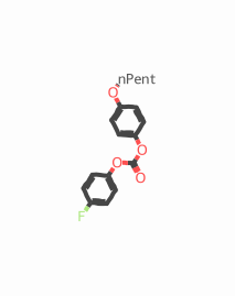 CCCCCOc1ccc(OC(=O)Oc2ccc(F)cc2)cc1